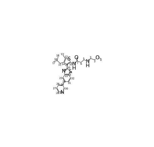 COCCNCCC(=O)Nc1sc(C)c(CC(C)C)c1-c1nc2cc(-c3cccnc3)ccc2s1